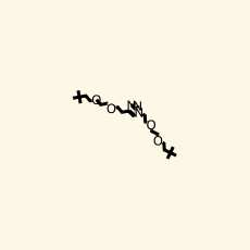 CC(C)(C)CCOCCOCCc1cn(CCOCCOCCC(C)(C)C)nn1